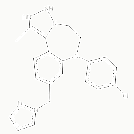 CC1=C2c3ccc(Cn4cccn4)cc3N(c3ccc(Cl)cc3)CCN2NN1